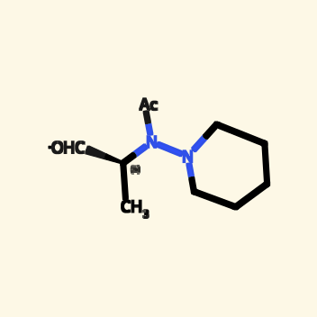 CC(=O)N([C@@H](C)[C]=O)N1CCCCC1